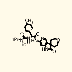 CCCN(CC)C(=O)N[C@H](C(=O)Nc1cc2c(cn1)C1(CCOCC1)C(=O)N2)[C@H]1CC[C@@H](C)CC1